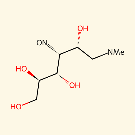 CNC[C@@H](O)[C@@H](N=O)[C@H](O)[C@H](O)CO